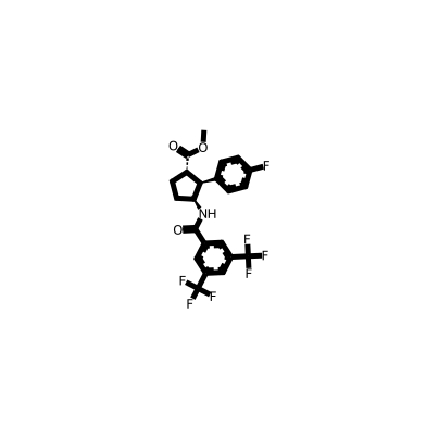 COC(=O)[C@H]1CC[C@H](NC(=O)c2cc(C(F)(F)F)cc(C(F)(F)F)c2)[C@@H]1c1ccc(F)cc1